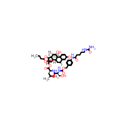 CCCC1O[C@@H]2CC3[C@@H]4C[C@H](F)C5=CC(=O)C=C[C@]5(C)[C@@]4(F)[C@@H](O)C[C@]3(C)[C@]2(C(=O)COC(=O)[C@H](CC(C)C)NC(=O)[C@H](CO)NC(=O)OCc2ccc(NC(=O)CCCCNC(N)=O)cc2)O1